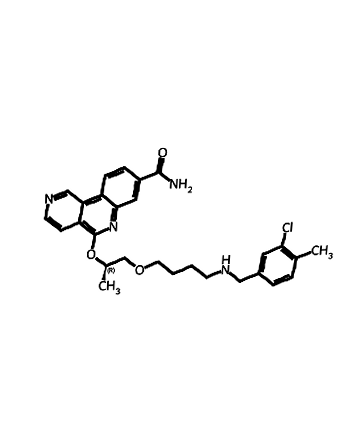 Cc1ccc(CNCCCCOC[C@@H](C)Oc2nc3cc(C(N)=O)ccc3c3cnccc23)cc1Cl